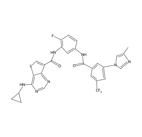 Cc1cn(-c2cc(C(=O)Nc3ccc(F)c(NC(=O)c4csc5c(NC6CC6)ncnc45)c3)cc(C(F)(F)F)c2)cn1